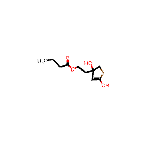 CCCC(=O)OCCC1(O)C=C(O)SC1